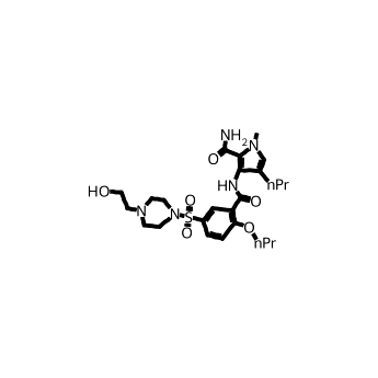 CCCOc1ccc(S(=O)(=O)N2CCN(CCO)CC2)cc1C(=O)Nc1c(CCC)cn(C)c1C(N)=O